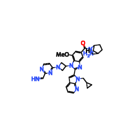 COc1cc(C(=O)N2CC3CCC2[C@@H]3N)cc2nc(-c3cc4cccnc4n3CC3CC3)n(C3CN(c4ccnc(C=N)n4)C3)c12